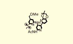 COCc1cc(Nc2cc(NC(C)=O)ncc2-c2ccc3c(n2)OC(C)(C)CO3)nc(S(C)(=O)=O)c1